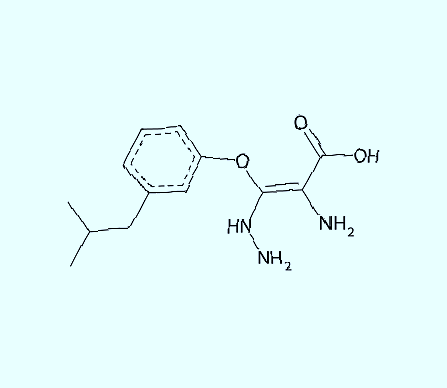 CC(C)Cc1cccc(O/C(NN)=C(/N)C(=O)O)c1